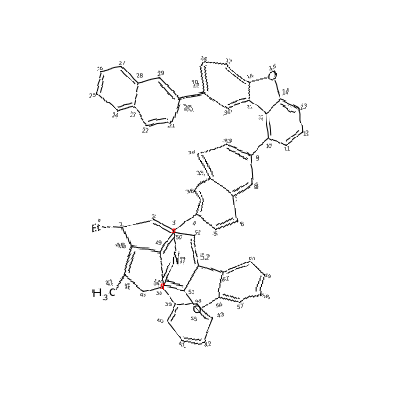 CCC1/C=C(c2ccc3cc(-c4cccc5oc6ccc(-c7ccc8ccccc8c7)cc6c45)ccc3c2)\N=C(\c2ccccc2)C/C(C)=C/1c1ccc2c(c1)oc1ccccc12